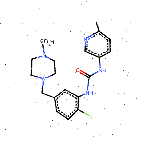 Cc1ccc(NC(=O)Nc2cc(CN3CCN(C(=O)O)CC3)ccc2F)cn1